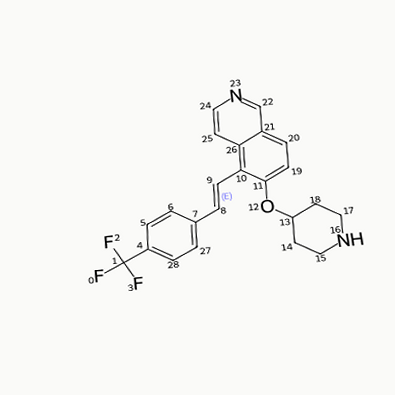 FC(F)(F)c1ccc(/C=C/c2c(OC3CCNCC3)ccc3cnccc23)cc1